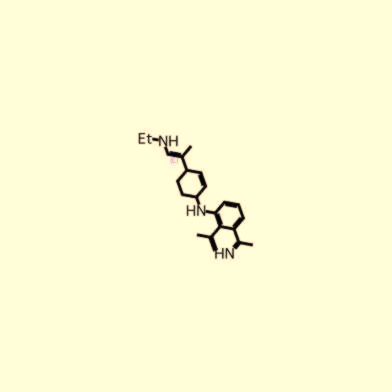 C=C(C)c1c(NC2C=CC(/C(C)=C/NCC)CC2)cccc1C(C)=N